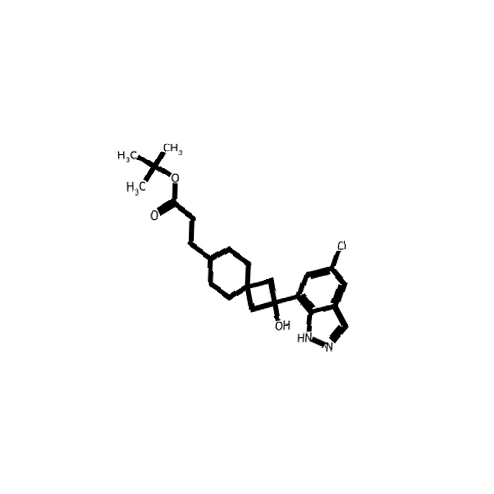 CC(C)(C)OC(=O)CCC1CCC2(CC1)CC(O)(c1cc(Cl)cc3cn[nH]c13)C2